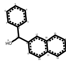 OC(c1ccccc1)c1ccc2ccccc2c1